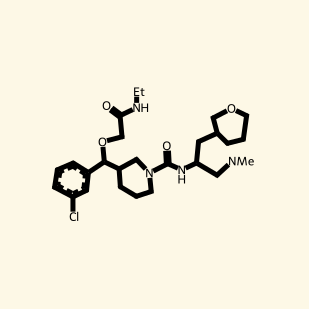 CCNC(=O)COC(c1cccc(Cl)c1)C1CCCN(C(=O)NC(CNC)CC2CCCOC2)C1